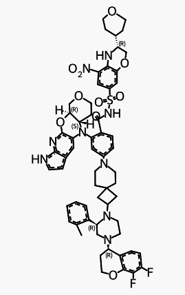 Cc1ccccc1[C@@H]1CN([C@@H]2CCOc3c2ccc(F)c3F)CCN1C1CC2(CCN(c3ccc(C(=O)NS(=O)(=O)c4cc5c(c([N+](=O)[O-])c4)N[C@H](C4CCOCC4)CO5)c(N4c5cc6cc[nH]c6nc5O[C@H]5COCC[C@@H]54)c3)CC2)C1